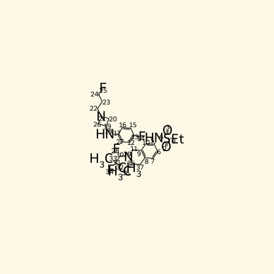 CCS(=O)(=O)Nc1ccc2c(c1)[C@@H](c1c(F)ccc(NC3CN(CCCF)C3)c1F)N(CC(C)(C)F)[C@H](C)C2